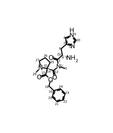 CN(C(=O)[C@@H](N)Cc1c[nH]cn1)C(=O)[C@]1(C(=O)OCc2ccccc2)CCCN1C